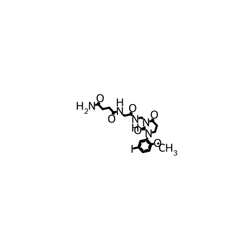 COc1ccc(I)cc1N1CCC(=O)N(CNC(=O)CNC(=O)CCC(N)=O)C1=O